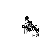 OCc1cnn(C2CC(n3cnc4c(NC5CCCC5O)nc(-n5cc(-c6ccccn6)cn5)nc43)C(O)C2O)c1